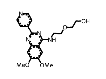 COc1cc2nc(-c3ccncc3)nc(NCCOCCO)c2cc1OC